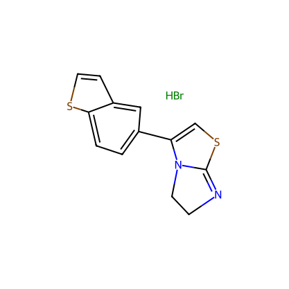 Br.C1=C(c2ccc3sccc3c2)N2CCN=C2S1